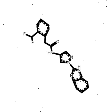 O=C(Cc1ccccc1C(F)F)Nc1cnn(-c2nc3ccccc3[nH]2)c1